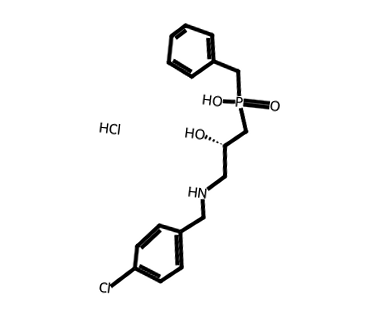 Cl.O=P(O)(Cc1ccccc1)C[C@@H](O)CNCc1ccc(Cl)cc1